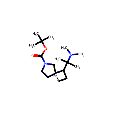 CN(C)C(C)(C)C1CC[C@@]12CCN(C(=O)OC(C)(C)C)C2